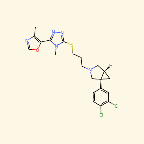 Cc1ncoc1-c1nnc(SCCCN2C[C@@H]3C[C@]3(c3ccc(Cl)c(Cl)c3)C2)n1C